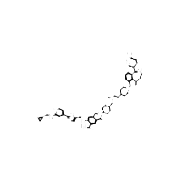 CC1CCN=C(C2CCC(=O)NC2=O)c2cccc(CN3CCC(CCN(C)CC4CCC(N5Cc6cc(NC(=O)c7coc(-c8ccnc(NCC9CC9)c8)n7)c(C(F)F)cc6C5=O)CC4)CC3)c21